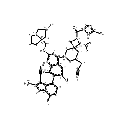 CC(C)[C@H]1N(C(=O)n2cnc(F)n2)C[C@]12CC(CC#N)CN(c1nc(OC[C@@]34CCCN3C[C@H](F)C4)nc3c(F)c(-c4ccc(F)c5sc(N)c(C#N)c45)c(Cl)cc13)C2